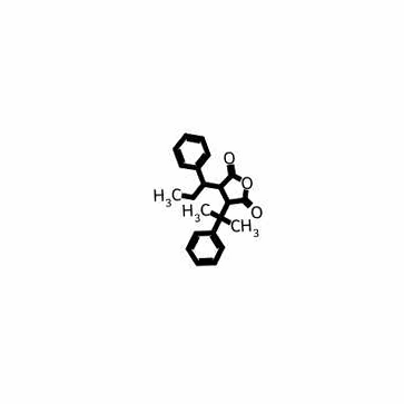 CCC(c1ccccc1)C1C(=O)OC(=O)C1C(C)(C)c1ccccc1